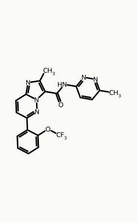 Cc1ccc(NC(=O)c2c(C)nc3ccc(-c4ccccc4OC(F)(F)F)nn23)nn1